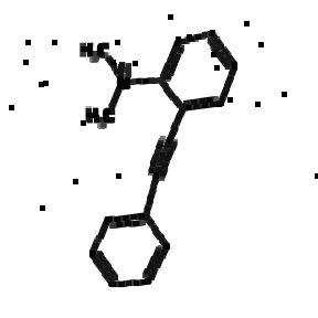 C[SiH](C)c1ccccc1C#Cc1ccccc1